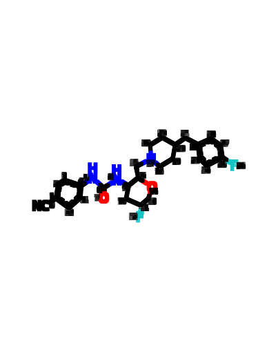 N#Cc1ccc(NC(=O)N[C@@H]2C[C@@H](F)CO[C@@H]2CN2CCC(Cc3ccc(F)cc3)CC2)cc1